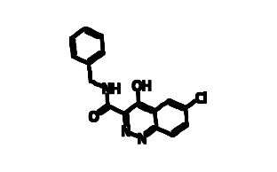 O=C(NCc1ccccc1)c1nnc2ccc(Cl)cc2c1O